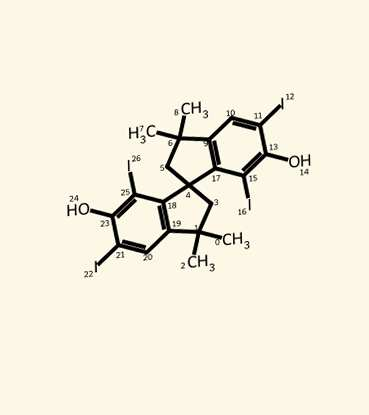 CC1(C)CC2(CC(C)(C)c3cc(I)c(O)c(I)c32)c2c1cc(I)c(O)c2I